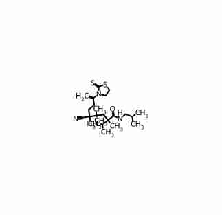 C=C(CCC(C)(C#N)C(C)(C)CC(C)(C(=O)NCC(C)C)C(C)C)N1CCSC1=S